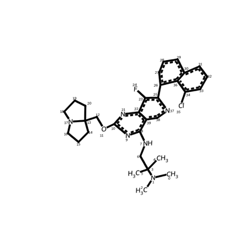 CN(C)C(C)(C)CNc1nc(OCC23CCCN2CCC3)nc2c(F)c(-c3cccc4cccc(Cl)c34)ncc12